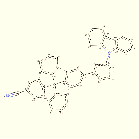 N#Cc1ccc([Si](c2ccccc2)(c2ccccc2)c2ccc(-c3cccc(-n4c5ccccc5c5ccccc54)c3)cc2)cc1